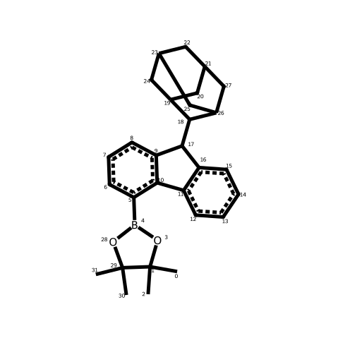 CC1(C)OB(c2cccc3c2-c2ccccc2C3C2C3CC4CC(C3)CC2C4)OC1(C)C